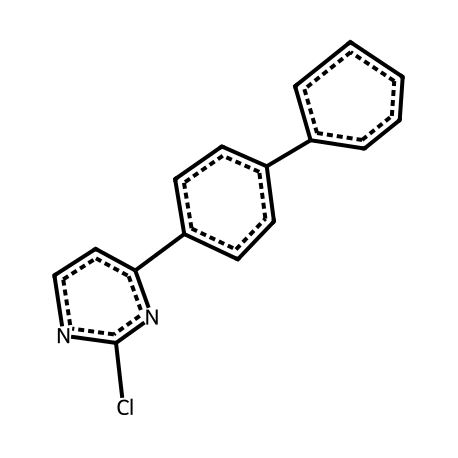 Clc1nccc(-c2ccc(-c3ccccc3)cc2)n1